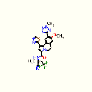 COc1cc2c(cc1-c1nnn(C)n1)-c1c(-c3nncs3)cc(C(=O)N[C@](C)(C#N)CC(F)(F)F)n1CC2